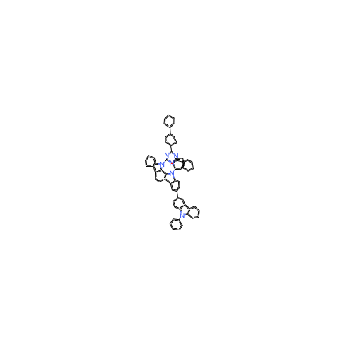 c1ccc(-c2ccc(-c3nc(-c4ccccc4)nc(-n4c5ccccc5c5ccc6c7cc(-c8ccc9c(c8)c8ccccc8n9-c8ccccc8)ccc7n(-c7ccccc7)c6c54)n3)cc2)cc1